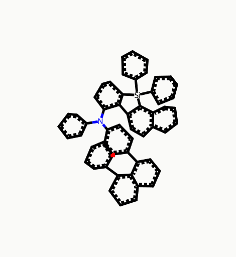 c1ccc(-c2cccc3cccc(-c4ccc(N(c5ccccc5)c5cccc6c5-c5ccc7ccccc7c5[Si]6(c5ccccc5)c5ccccc5)cc4)c23)cc1